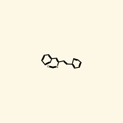 O=C=NC(C=Cc1ccccc1)=Cc1ccccc1